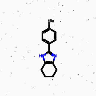 CC(C)(C)c1ccc(-c2nc3c([nH]2)CCCC3)cc1